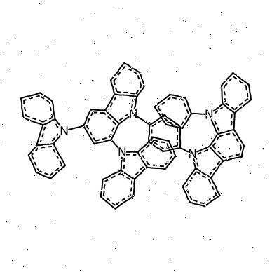 c1ccc(-n2c3ccccc3c3ccc4c5ccccc5n(-c5ccc(-n6c7ccccc7c7cc(-n8c9ccccc9c9ccccc98)cc(-n8c9ccccc9c9ccccc98)c76)cc5)c4c32)cc1